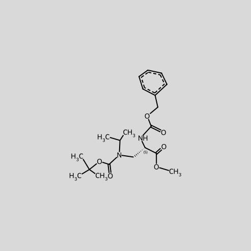 COC(=O)[C@H](CN(C(=O)OC(C)(C)C)C(C)C)NC(=O)OCc1ccccc1